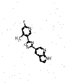 Cc1cc(F)ncc1-c1nc(-c2cnc3[nH]ccc3c2)no1